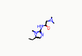 CCc1cnc(NC(=O)CN(C)C)n1C